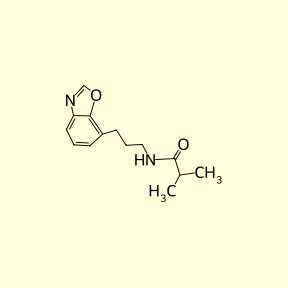 CC(C)C(=O)NCCCc1cccc2ncoc12